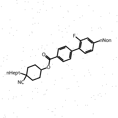 CCCCCCCCCc1ccc(-c2ccc(C(=O)OC3CCC(C#N)(CCCCCCC)CC3)cc2)c(F)c1